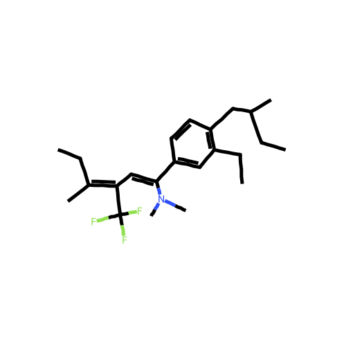 CC/C(C)=C(\C=C(\c1ccc(CC(C)CC)c(CC)c1)N(C)C)C(F)(F)F